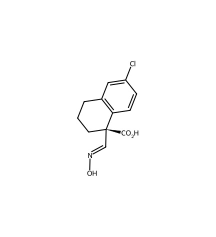 O=C(O)[C@@]1(C=NO)CCCc2cc(Cl)ccc21